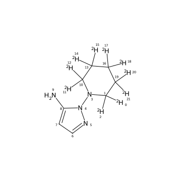 [2H]C1([2H])N(n2nccc2N)C([2H])([2H])C([2H])([2H])C([2H])([2H])C1([2H])[2H]